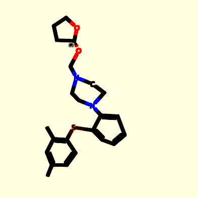 Cc1ccc(Sc2ccccc2N2CCN(CO[C@@H]3CCCO3)CC2)c(C)c1